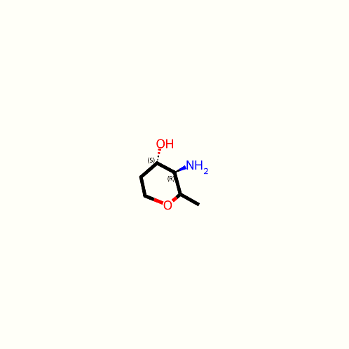 CC1OCC[C@H](O)[C@H]1N